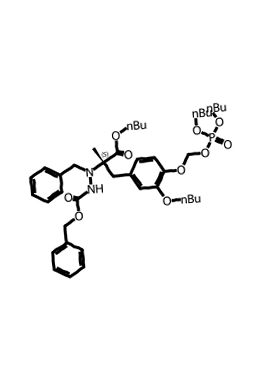 CCCCOC(=O)[C@](C)(Cc1ccc(OCOP(=O)(OCCCC)OCCCC)c(OCCCC)c1)N(Cc1ccccc1)NC(=O)OCc1ccccc1